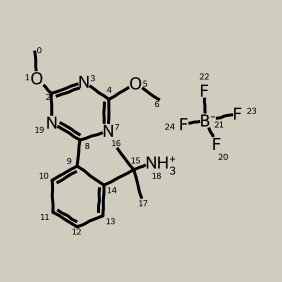 COc1nc(OC)nc(-c2ccccc2C(C)(C)[NH3+])n1.F[B-](F)(F)F